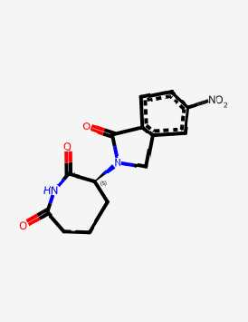 O=C1CCC[C@H](N2Cc3cc([N+](=O)[O-])ccc3C2=O)C(=O)N1